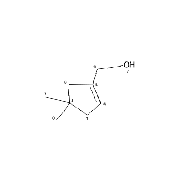 CC1(C)CC=C(CO)C1